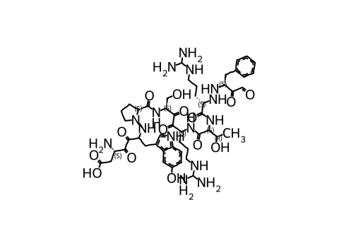 C[C@@H](O)[C@H](NC(=O)[C@H](CCCNC(N)N)NN[C@@H](Cc1ccccc1)C(=O)C=O)C(=O)N[C@@H](CCCNC(N)N)C(=O)C(=O)[C@H](CO)NC(=O)[C@@H]1CCCN1NC(Cc1c[nH]c2ccc(O)cc12)C(=O)C(=O)[C@@H](N)CC(=O)O